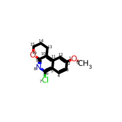 COc1ccc2c(Cl)nc3c(c2c1)CCCO3